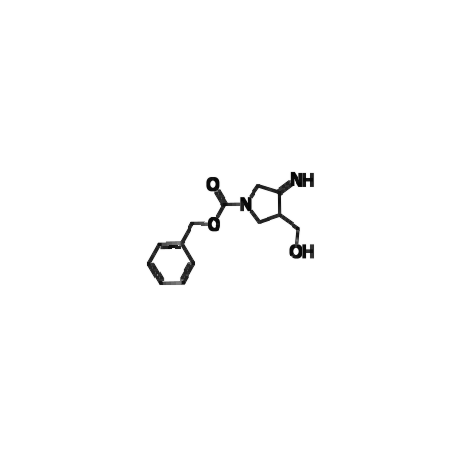 N=C1CN(C(=O)OCc2ccccc2)CC1CO